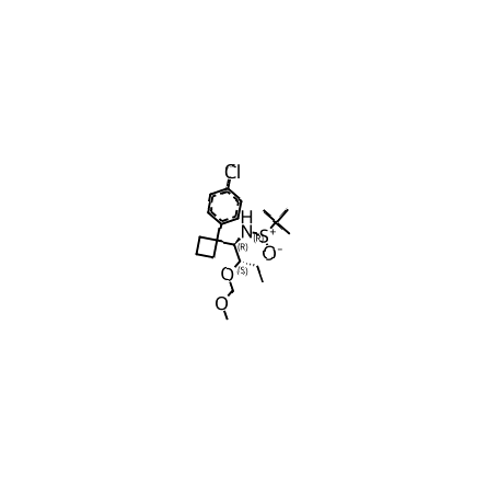 CC[C@H](OCOC)[C@H](N[S@@+]([O-])C(C)(C)C)C1(c2ccc(Cl)cc2)CCC1